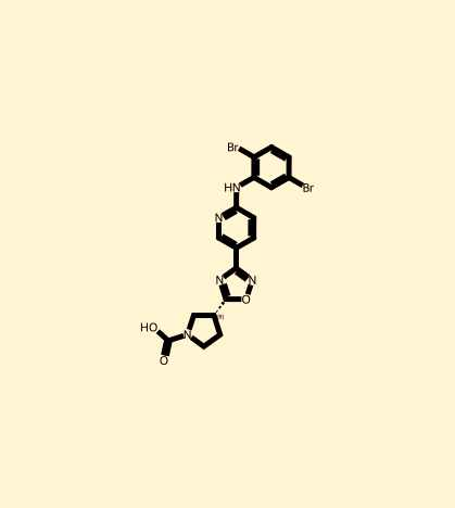 O=C(O)N1CC[C@@H](c2nc(-c3ccc(Nc4cc(Br)ccc4Br)nc3)no2)C1